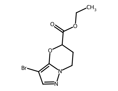 CCOC(=O)C1CCn2ncc(Br)c2O1